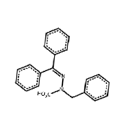 O=C(O)N(Cc1ccccc1)N=C(c1ccccc1)c1ccccc1